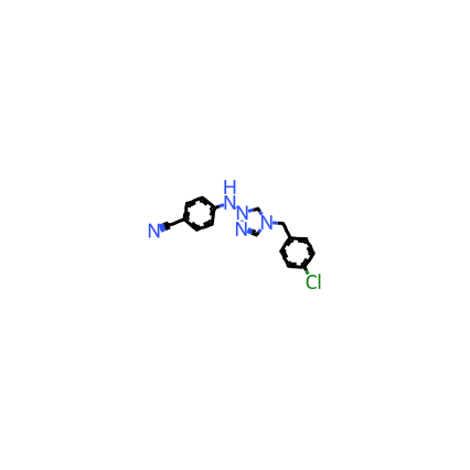 N#Cc1ccc(NN2CN(Cc3ccc(Cl)cc3)C=N2)cc1